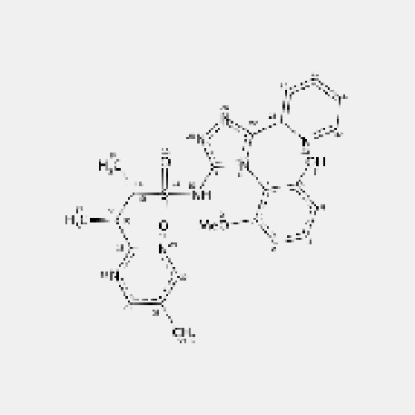 COc1cccc(O)c1-n1c(NS(=O)(=O)[C@@H](C)[C@H](C)c2ncc(C)cn2)nnc1C1=C=C=CC=N1